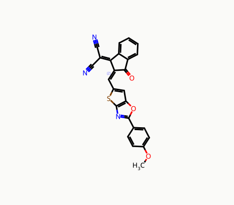 COc1ccc(-c2nc3sc(/C=C4\C(=O)c5ccccc5C4=C(C#N)C#N)cc3o2)cc1